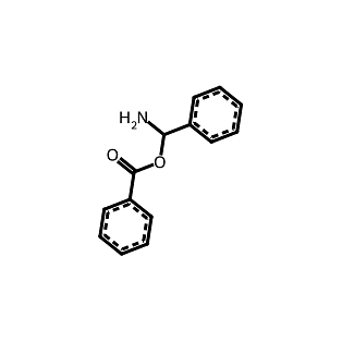 NC(OC(=O)c1ccccc1)c1ccccc1